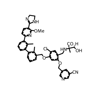 COc1nc(-c2cccc(-c3cccc(COc4cc(OCc5cncc(C#N)c5)c(CN[C@@](C)(CO)C(=O)O)cc4Cl)c3C)c2C)ccc1C1=NCCN1